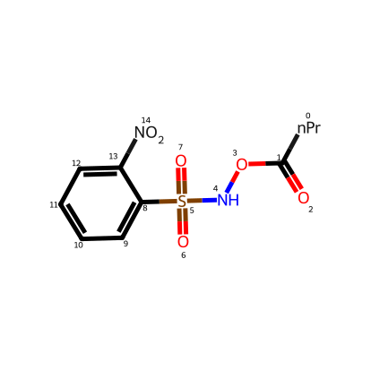 CCCC(=O)ONS(=O)(=O)c1ccccc1[N+](=O)[O-]